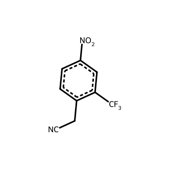 N#CCc1ccc([N+](=O)[O-])cc1C(F)(F)F